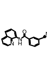 N#Cc1cccc(C(=O)Nc2cccc3cccnc23)c1